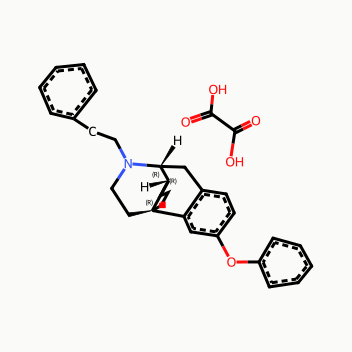 O=C(O)C(=O)O.c1ccc(CCN2CC[C@]34CCCC[C@H]3[C@H]2Cc2ccc(Oc3ccccc3)cc24)cc1